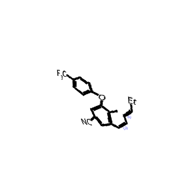 CC/C=C/C=C\c1cc(C#N)cc(Oc2ccc(C(F)(F)F)cc2)c1C